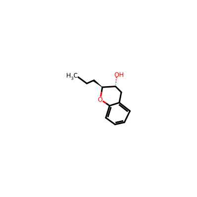 CCC[C@@H]1Oc2ccccc2C[C@H]1O